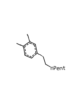 [CH2]CCCCCCc1ccc(C)c(C)c1